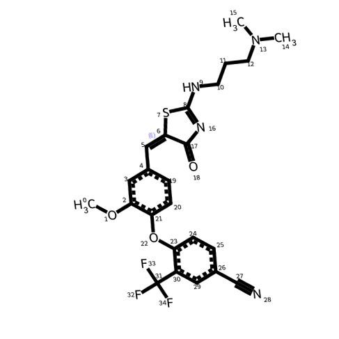 COc1cc(/C=C2/SC(NCCCN(C)C)=NC2=O)ccc1Oc1ccc(C#N)cc1C(F)(F)F